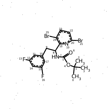 CC(C)(C)OC(=O)NC(Cc1cc(F)cc(F)c1)c1nc(Br)ccc1Br